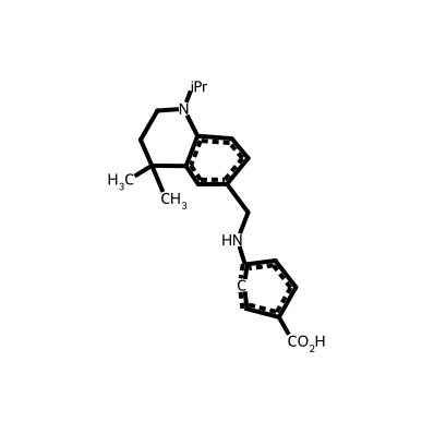 CC(C)N1CCC(C)(C)c2cc(CNc3ccc(C(=O)O)cc3)ccc21